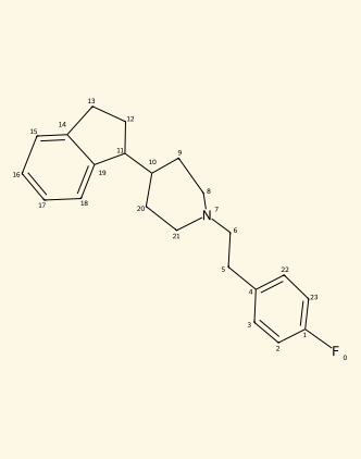 Fc1ccc(CCN2CCC(C3CCc4ccccc43)CC2)cc1